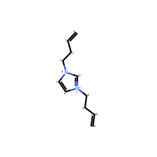 C=CCCn1cc[n+](CCC=C)c1